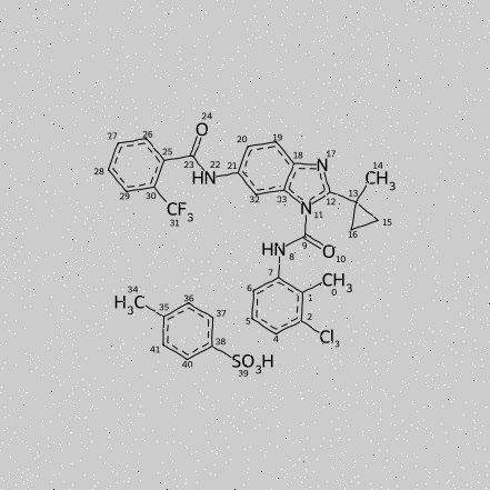 Cc1c(Cl)cccc1NC(=O)n1c(C2(C)CC2)nc2ccc(NC(=O)c3ccccc3C(F)(F)F)cc21.Cc1ccc(S(=O)(=O)O)cc1